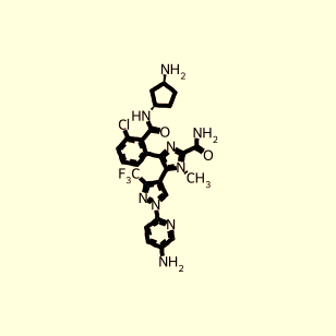 Cn1c(C(N)=O)nc(-c2cccc(Cl)c2C(=O)N[C@H]2CC[C@H](N)C2)c1-c1cn(-c2ccc(N)cn2)nc1C(F)(F)F